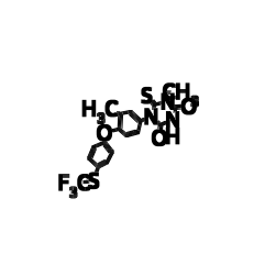 Cc1cc(-n2c(=O)[nH]c(=O)n(C)c2=S)ccc1Oc1ccc(SC(F)(F)F)cc1